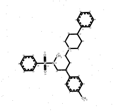 Cc1ccc(C(CCN2CCC(c3ccccc3)CC2)CN(C)S(=O)(=O)c2ccccc2)cc1